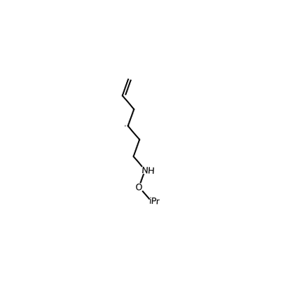 C=CC[CH]CCNOC(C)C